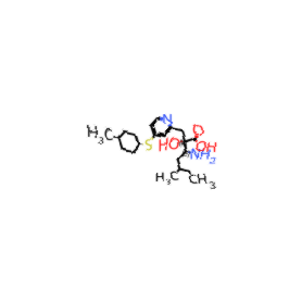 CCC(C)C[C@H](N)[C@](O)(Cc1cc(S[C@H]2CC[C@H](C)CC2)ccn1)C(=O)O